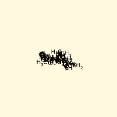 C#CCC(NC(=O)[C@@H]1[C@@H]2[C@H](CN1C(=O)[C@@H](NC(=O)N[C@H](CN(C)S(=O)(=O)c1ccccn1)C(C)(C)C)C(C)(C)C)C2(C)C)C(O)C(=O)NCC=C